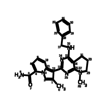 Cc1cn2c(C(N)=O)cccc2c1-c1nc(NCc2ccccc2)c2c(n1)N(C)CCC2